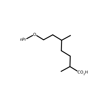 CCCOCCC(C)CCC(C)C(=O)O